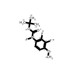 COc1ccc(N(F)C(=O)OC(C)(C)C)c(F)c1F